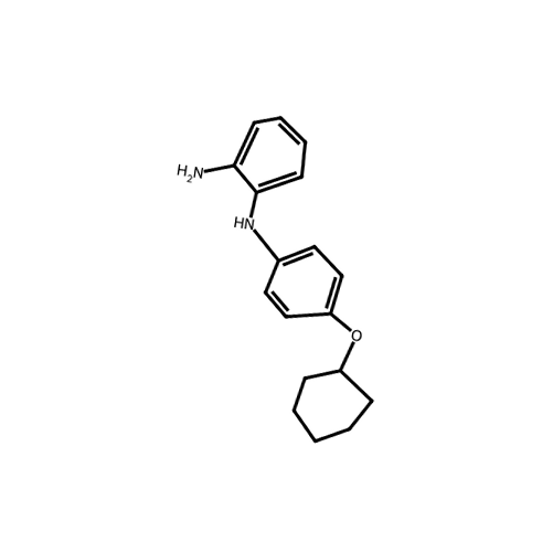 Nc1ccccc1Nc1ccc(OC2CCCCC2)cc1